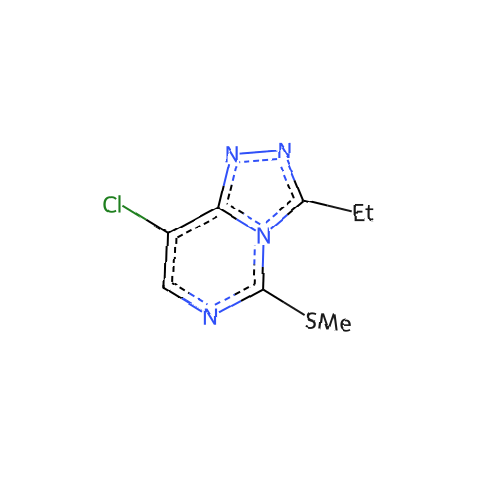 CCc1nnc2c(Cl)cnc(SC)n12